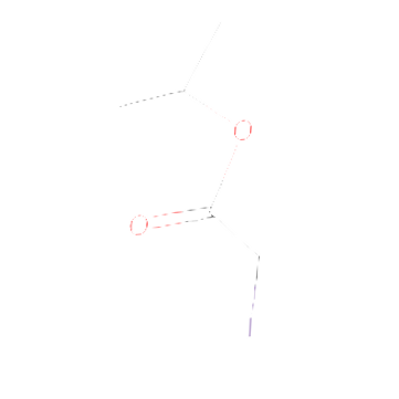 CC(C)OC(=O)CI